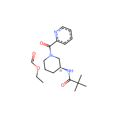 CC(C)(C)C(=O)N[C@H]1CCCN(C(=O)c2ccccn2)C1.CCOC=O